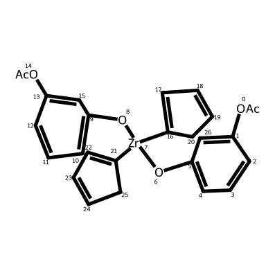 CC(=O)Oc1cccc([O][Zr]([O]c2cccc(OC(C)=O)c2)([C]2=CC=CC2)[C]2=CC=CC2)c1